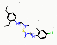 CCc1ccc(/N=C/N(C)SN(C)/C=N/c2ccc(Cl)cc2C)c(CC)c1